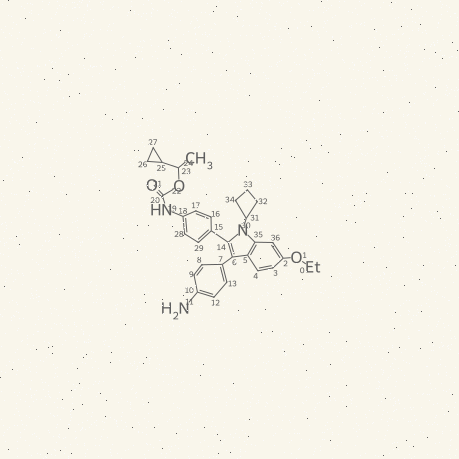 CCOc1ccc2c(-c3ccc(N)cc3)c(-c3ccc(NC(=O)OC(C)C4CC4)cc3)n(C3CCC3)c2c1